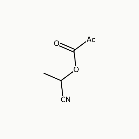 CC(=O)C(=O)OC(C)C#N